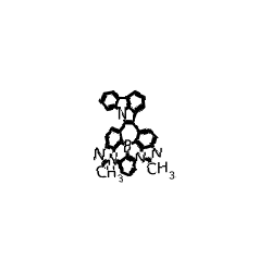 Cc1nc2ccc3c4c2n1-c1cccc2c1B4c1c(ccc4nc(C)n-2c14)-c1c-3c2cccc3c4ccccc4n1c23